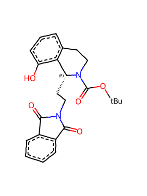 CC(C)(C)OC(=O)N1CCc2cccc(O)c2[C@H]1CCN1C(=O)c2ccccc2C1=O